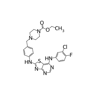 CCOC(=O)N1CCN(Cc2ccc(Nc3nc4ncnc(Nc5ccc(F)c(Cl)c5)c4s3)cc2)CC1